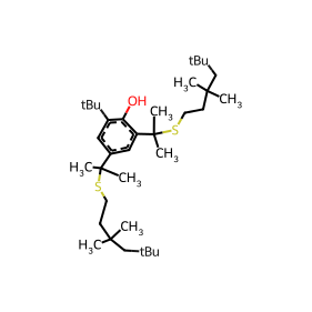 CC(C)(C)CC(C)(C)CCSC(C)(C)c1cc(C(C)(C)C)c(O)c(C(C)(C)SCCC(C)(C)CC(C)(C)C)c1